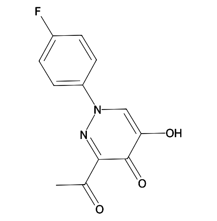 CC(=O)c1nn(-c2ccc(F)cc2)cc(O)c1=O